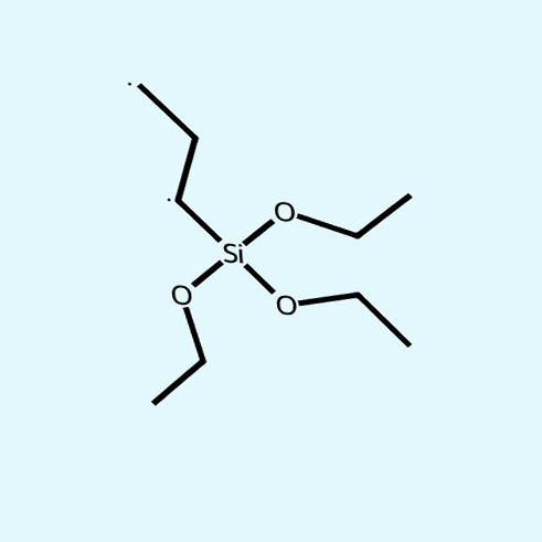 [CH2]C[CH][Si](OCC)(OCC)OCC